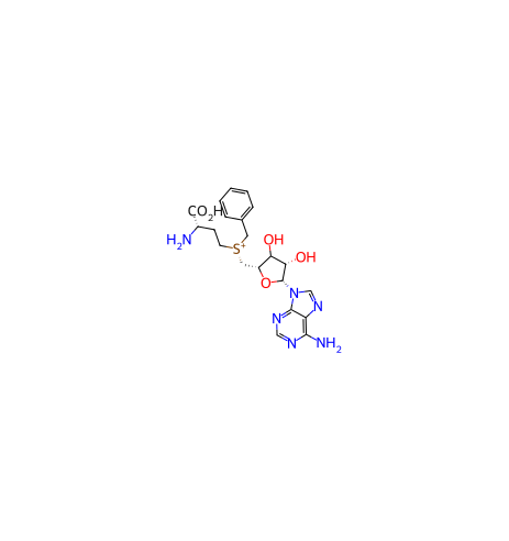 Nc1ncnc2c1ncn2[C@@H]1O[C@H](C[S@+](CC[C@H](N)C(=O)O)Cc2ccccc2)C(O)[C@@H]1O